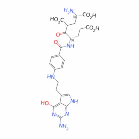 Nc1nc(O)c2c(CCNc3ccc(C(=O)N[C@@H](CCC(=O)O)C(=O)C(C[C@H](N)C(=O)O)C(=O)O)cc3)c[nH]c2n1